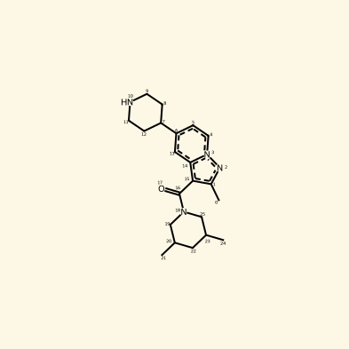 Cc1nn2ccc(C3CCNCC3)cc2c1C(=O)N1CC(C)CC(C)C1